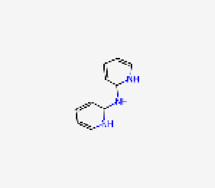 C1=CNC(NC2C=CC=CN2)C=C1